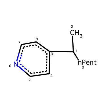 CCCCCC(C)c1ccncc1